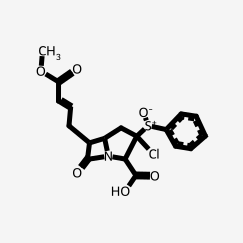 COC(=O)C=CCC1C(=O)N2C1CC(Cl)([S+]([O-])c1ccccc1)C2C(=O)O